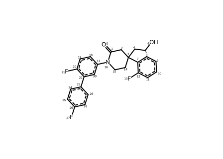 O=C1CC(CCO)(c2ccccc2F)CCN1c1ccc(F)c(-c2ccc(F)cc2)c1